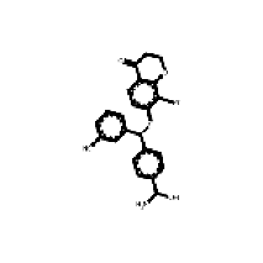 CC(C)c1c(O[C@@H](c2ccc(C(N)O)cc2)c2cccc(C#N)c2)ccc2c1OCCC2=O